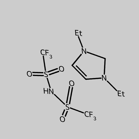 CCN1C=CN(CC)C1.O=S(=O)(NS(=O)(=O)C(F)(F)F)C(F)(F)F